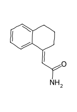 NC(=O)C=C1CCCc2ccccc21